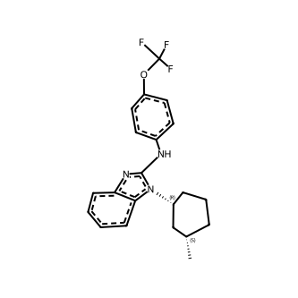 C[C@H]1CCC[C@@H](n2c(Nc3ccc(OC(F)(F)F)cc3)nc3ccccc32)C1